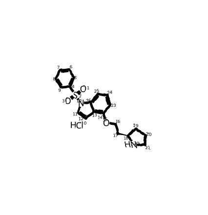 Cl.O=S(=O)(c1ccccc1)n1ccc2c(OCC[C@H]3CCCN3)cccc21